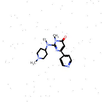 CCN(c1nc(-c2ccncc2)cc(=O)n1C)C1CCN(C)CC1